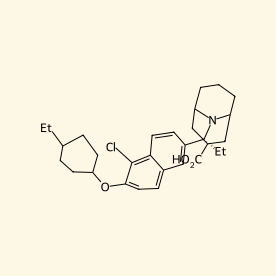 CCC1CCC(Oc2ccc3cc([C@@H](CC)N4C5CCCC4CC(C(=O)O)C5)ccc3c2Cl)CC1